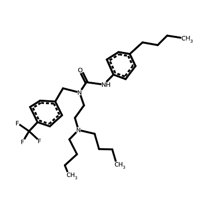 CCCCc1ccc(NC(=O)N(CCN(CCCC)CCCC)Cc2ccc(C(F)(F)F)cc2)cc1